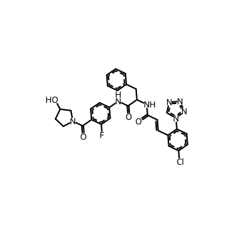 O=C(C=Cc1cc(Cl)ccc1-n1cnnn1)NC(Cc1ccccc1)C(=O)Nc1ccc(C(=O)N2CCC(O)C2)c(F)c1